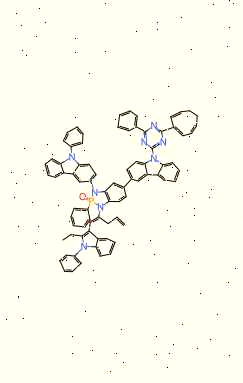 C=CC/C(=C\c1c(CC)n(-c2ccccc2)c2ccccc12)N1c2ccc(-c3ccc4c(c3)c3ccccc3n4-c3nc(/C4=C/C=C\CCC=C4)nc(-c4ccccc4)n3)cc2N(c2ccc3c(c2)c2ccccc2n3-c2ccccc2)P1(=O)c1ccccc1